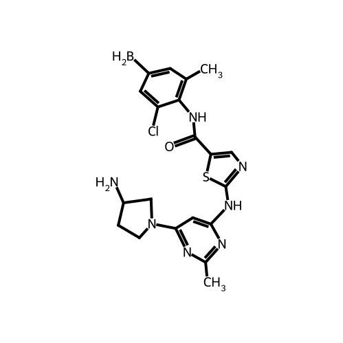 Bc1cc(C)c(NC(=O)c2cnc(Nc3cc(N4CCC(N)C4)nc(C)n3)s2)c(Cl)c1